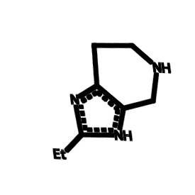 CCc1nc2c([nH]1)CNCC2